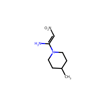 CC1CCN(C(N)=C[N+](=O)[O-])CC1